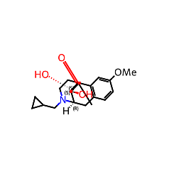 COc1ccc2c(c1)C13CCN(CC4CC4)[C@H](C2)[C@]1(O)C[C@H](O)C(=O)C3